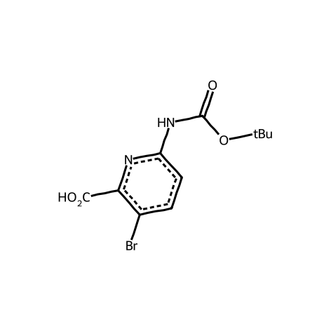 CC(C)(C)OC(=O)Nc1ccc(Br)c(C(=O)O)n1